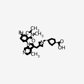 Cc1cncc2c1c(CC1CN(C[C@H]3CC[C@H](C(=O)O)CC3)C1)cn2-c1ccc(F)cc1C(=O)N(C)C(C)C